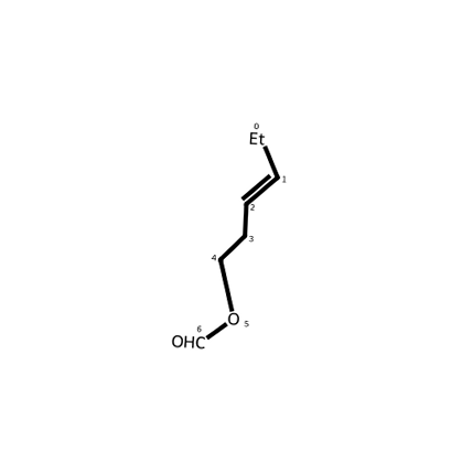 CCC=CCCOC=O